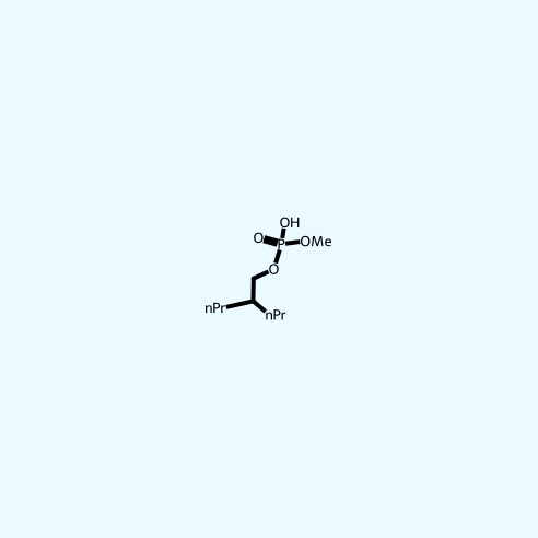 CCCC(CCC)COP(=O)(O)OC